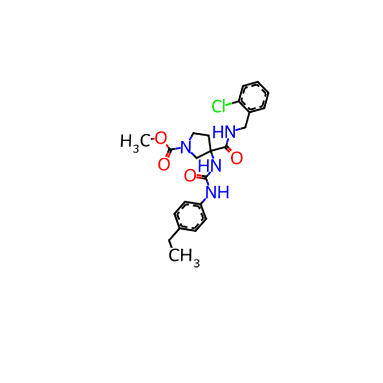 CCc1ccc(NC(=O)NC2(C(=O)NCc3ccccc3Cl)CCN(C(=O)OC)C2)cc1